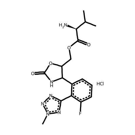 CC(C)[C@H](N)C(=O)OCC1OC(=O)NC1c1cccc(F)c1-c1nnn(C)n1.Cl